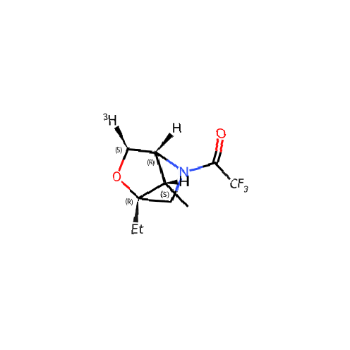 [3H][C@@H]1O[C@@]2(CC)CN(C(=O)C(F)(F)F)[C@@H]1[C@@H]2C